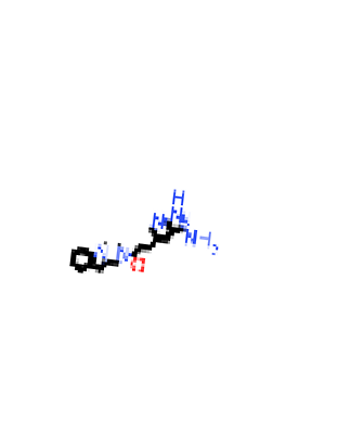 CN(Cc1cc2ccccc2n1C)C(=O)C=Cc1cnc2[nH]nc(N)c2c1